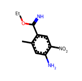 CCOC(=N)c1cc([N+](=O)[O-])c(N)cc1C